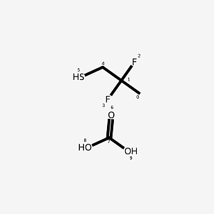 CC(F)(F)CS.O=C(O)O